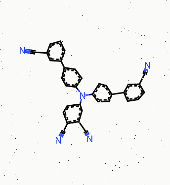 N#Cc1cccc(-c2ccc(N(c3ccc(-c4cccc(C#N)c4)cc3)c3ccc(C#N)c(C#N)c3)cc2)c1